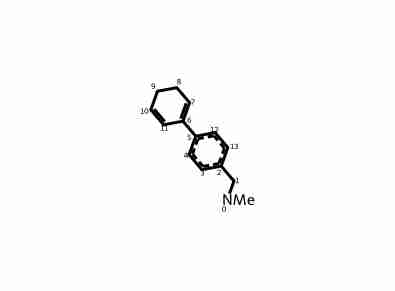 CNCc1ccc(C2=CCCC=C2)cc1